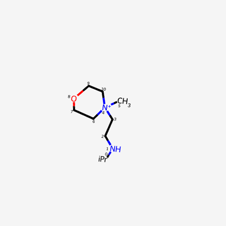 CC(C)NCC[N+]1(C)CCOCC1